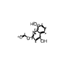 O=COc1cc(O)c2cccc(O)c2n1